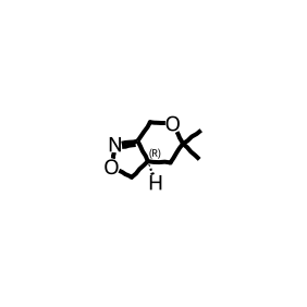 CC1(C)C[C@H]2CON=C2CO1